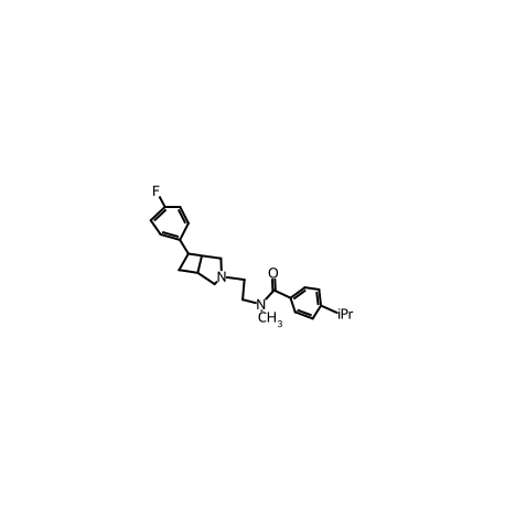 CC(C)c1ccc(C(=O)N(C)CCN2CC3CC(c4ccc(F)cc4)C3C2)cc1